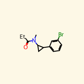 CCC(=O)N(C)C1CC1c1cccc(Br)c1